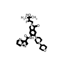 CC(C)(O)C(F)CN1Cc2cc(NC(=O)c3cnn4cccnc34)c(N3CCN(C4CCOCC4)CC3)cc2C1=O